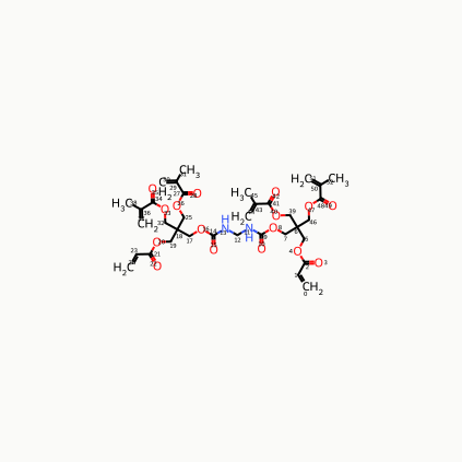 C=CC(=O)OCC(COC(=O)NCNC(=O)OCC(COC(=O)C=C)(COC(=O)C(=C)C)COC(=O)C(=C)C)(COC(=O)C(=C)C)COC(=O)C(=C)C